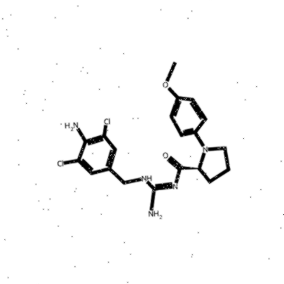 COc1ccc(N2CCC[C@H]2C(=O)/N=C(/N)NCc2cc(Cl)c(N)c(Cl)c2)cc1